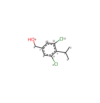 CC(C)c1c(Cl)cc(CO)cc1Cl